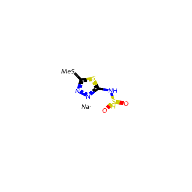 CSc1nnc(N[SH](=O)=O)s1.[Na]